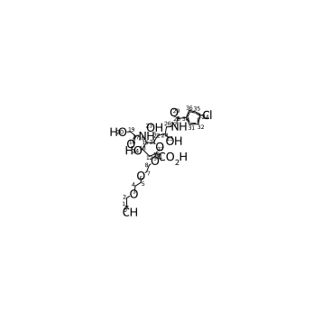 C#CCOCCOCCO[C@]1(C(=O)O)C[C@H](O)[C@@H](NC(=O)CO)[C@H]([C@H](O)[C@H](O)CNC(=O)c2ccc(Cl)cc2)O1